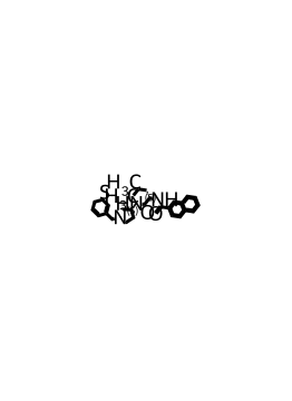 CC(C)C[C@H](NC(=O)c1ccc2ccccc2c1)C(=O)N[C@H]1CCN(CC2=CC(=S)CC=C2)C1